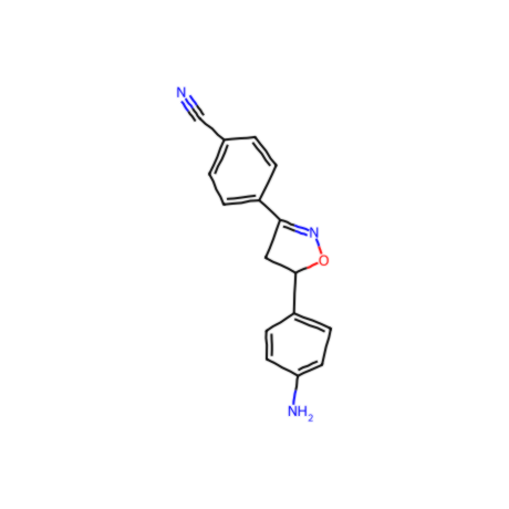 N#Cc1ccc(C2=NOC(c3ccc(N)cc3)C2)cc1